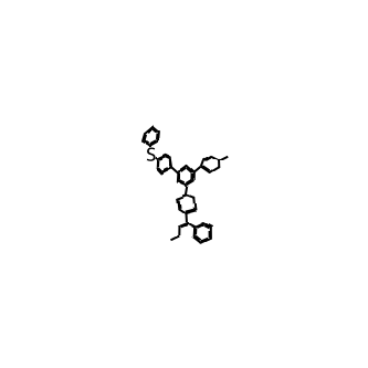 CC/C=C(/C1=CCC(c2cc(C3=CCC(C)C=C3)cc(-c3ccc(Sc4ccccc4)cc3)c2)C=C1)c1ccccc1